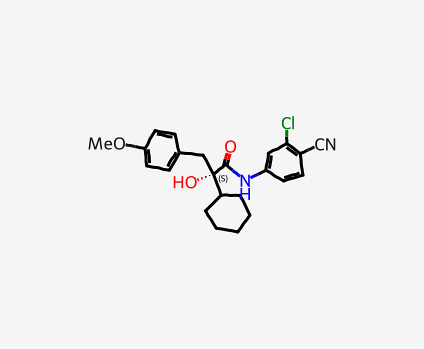 COc1ccc(C[C@@](O)(C(=O)Nc2ccc(C#N)c(Cl)c2)C2CCCCC2)cc1